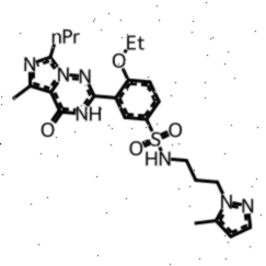 CCCc1nc(C)c2c(=O)[nH]c(-c3cc(S(=O)(=O)NCCCn4nccc4C)ccc3OCC)nn12